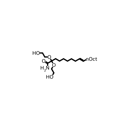 CCCCCCCCC=CCCCCCCC(OCCO)(OCCO)C(N)=O